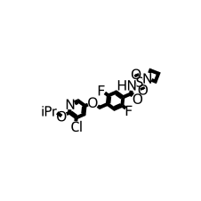 CC(C)Oc1ncc(OCc2cc(F)c(C(=O)NS(=O)(=O)N3CCC3)cc2F)cc1Cl